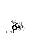 COc1ccc([C@H](C)O)c(C(C)(C)C)c1